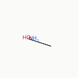 CCCCCCCCCCCCCCCCCCCCCCC(CC)C(C)(N)O